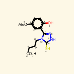 COc1ccc(O)c(C2=NNC(S)N2CCCC(=O)O)c1